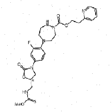 COC(=S)NC[C@H]1CN(c2ccc(N3CCNN(C(=O)OCCc4ccccn4)CC3)c(F)c2)C(=O)O1